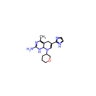 CC1=C2CC(c3ncc[nH]3)=CN(C3CCCOC3)C2NC(N)=N1